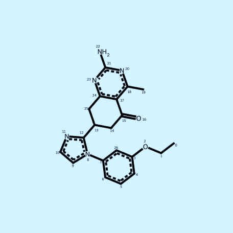 CCOc1cccc(-n2ccnc2C2CC(=O)c3c(C)nc(N)nc3C2)c1